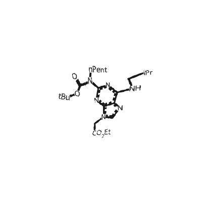 CCCCCN(C(=O)OC(C)(C)C)c1nc(NCC(C)C)c2ncn(CC(=O)OCC)c2n1